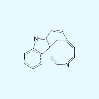 C1=CC23CC(=CC=N1)C=CC2=Nc1ccccc13